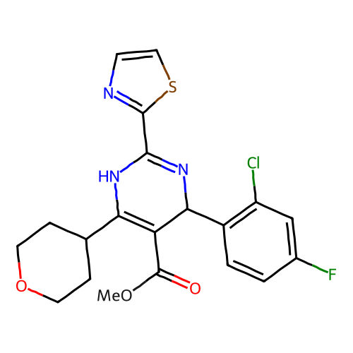 COC(=O)C1=C(C2CCOCC2)NC(c2nccs2)=NC1c1ccc(F)cc1Cl